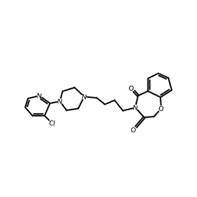 O=C1COc2ccccc2C(=O)N1CCCCN1CCN(c2ncccc2Cl)CC1